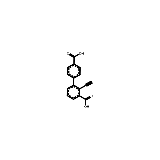 C#Cc1c(C(=O)O)cccc1-c1ccc(C(=O)O)cc1